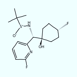 CC(C)(C)[S+]([O-])N[C@@H](c1cccc(F)n1)[C@]1(O)CC[C@H](F)CC1